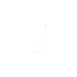 CN(C)c1ccc(C=CC(=O)O)cc1C(F)(F)F